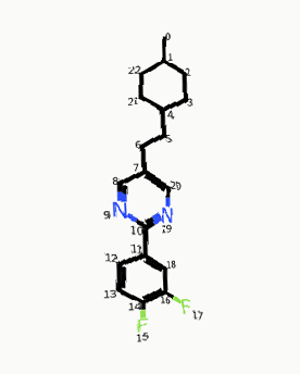 CC1CCC(CCc2cnc(-c3ccc(F)c(F)c3)nc2)CC1